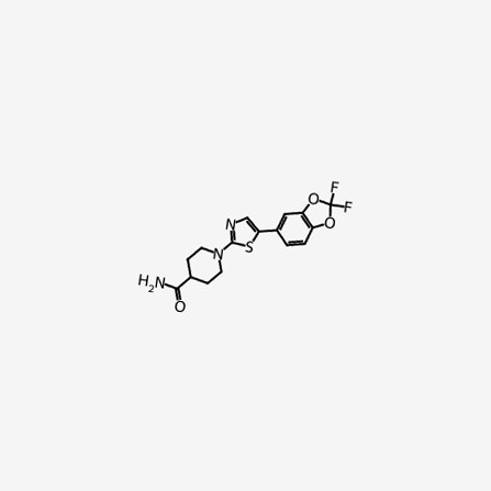 NC(=O)C1CCN(c2ncc(-c3ccc4c(c3)OC(F)(F)O4)s2)CC1